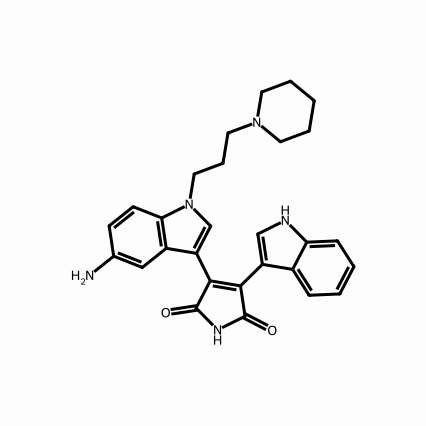 Nc1ccc2c(c1)c(C1=C(c3c[nH]c4ccccc34)C(=O)NC1=O)cn2CCCN1CCCCC1